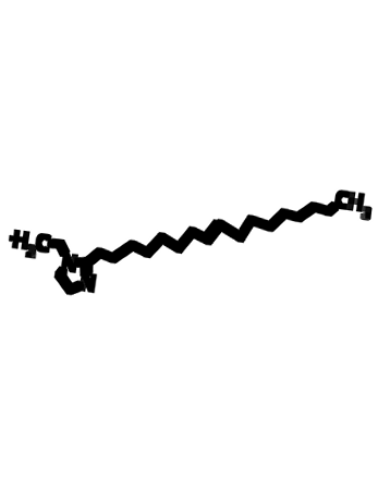 [CH2]CN1CCN=C1CCCCCCC/C=C/CCCCCCCC